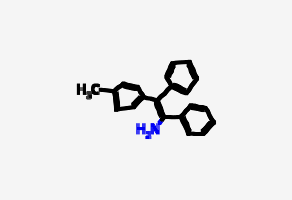 Cc1ccc(/C(=C(\N)c2ccccc2)c2ccccc2)cc1